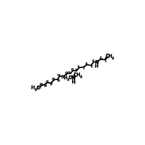 C=CCNCCCCCCCCCCCCCCCCCC.CNC